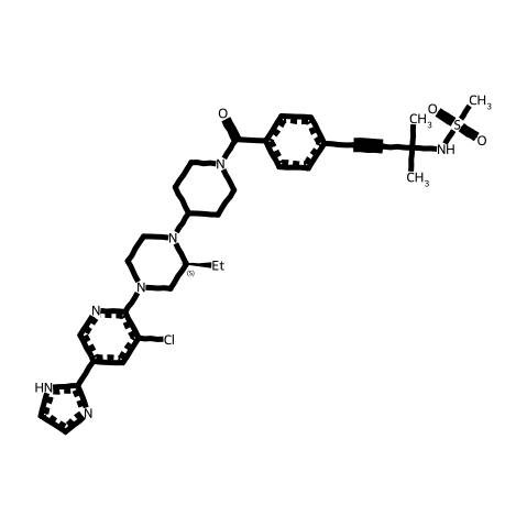 CC[C@H]1CN(c2ncc(-c3ncc[nH]3)cc2Cl)CCN1C1CCN(C(=O)c2ccc(C#CC(C)(C)NS(C)(=O)=O)cc2)CC1